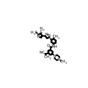 C=C(C#N)c1cc(C(=O)Nc2ccc(C)c(-n3cc(-c4cnn(C)c4C)nn3)c2)cc(N2CCN(C)CC2)c1